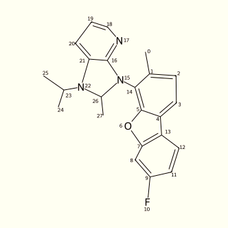 Cc1ccc2c(oc3cc(F)ccc32)c1N1c2ncccc2N(C(C)C)C1C